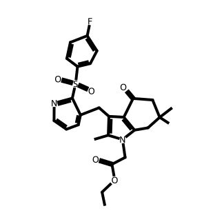 CCOC(=O)Cn1c(C)c(Cc2cccnc2S(=O)(=O)c2ccc(F)cc2)c2c1CC(C)(C)CC2=O